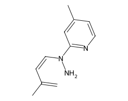 C=C(C)/C=C\N(N)c1cc(C)ccn1